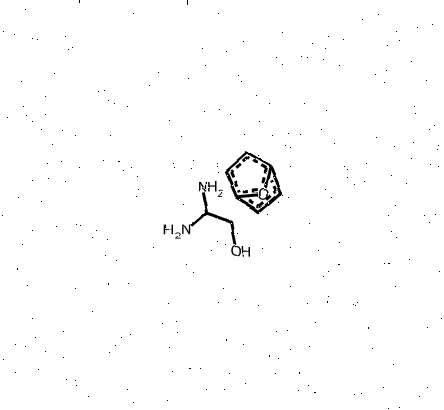 NC(N)CO.c1cc2ccc1o2